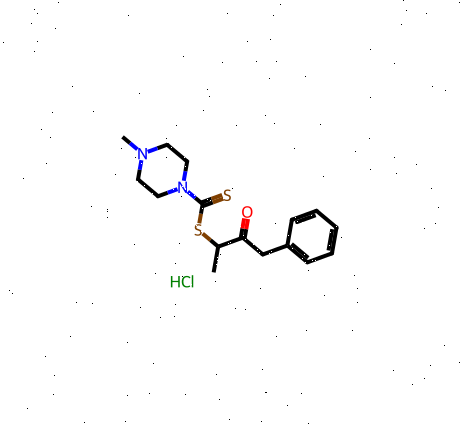 CC(SC(=S)N1CCN(C)CC1)C(=O)Cc1ccccc1.Cl